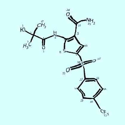 CC(C)(O)C(=O)Nc1sc(S(=O)(=O)c2ccc(C(F)(F)F)cc2)cc1C(N)=O